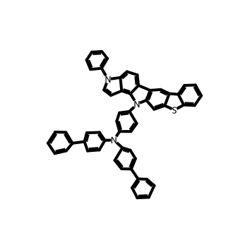 c1ccc(-c2ccc(N(c3ccc(-c4ccccc4)cc3)c3ccc(-n4c5cc6sc7ccccc7c6cc5c5ccc6c(ccn6-c6ccccc6)c54)cc3)cc2)cc1